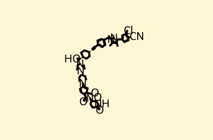 Cc1c(-c2ccc(C#N)c(Cl)c2)nn(Cc2ccc(C#C[C@H]3CC[C@H](C(O)N4CCN(C5CCN(c6ccc7c(c6)C(=O)N(C6CCC(=O)NC6=O)C7=O)CC5)CC4)CC3)cc2)c1C